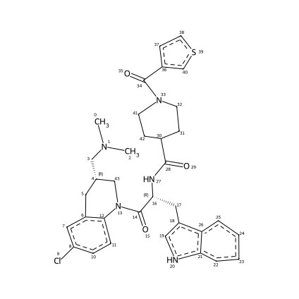 CN(C)C[C@H]1Cc2cc(Cl)ccc2N(C(=O)[C@@H](Cc2c[nH]c3ccccc23)NC(=O)C2CCN(C(=O)c3ccsc3)CC2)C1